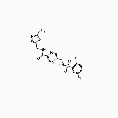 Cc1ncc(CNC(=O)c2cnc(CNS(=O)(=O)c3cc(Cl)ccc3F)cn2)s1